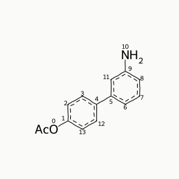 CC(=O)Oc1ccc(-c2cccc(N)c2)cc1